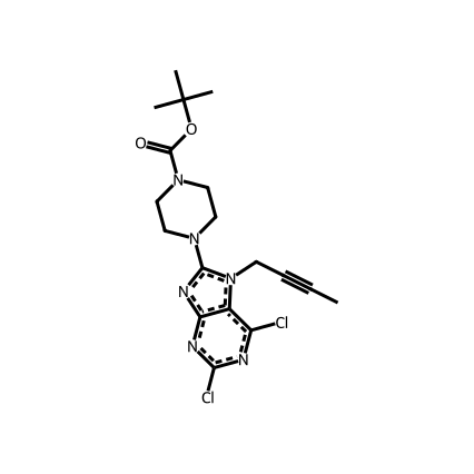 CC#CCn1c(N2CCN(C(=O)OC(C)(C)C)CC2)nc2nc(Cl)nc(Cl)c21